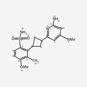 CNc1cc(C2CC(c3c(S(N)(=O)=O)ccc(OC)c3C)C2)nc(N)n1